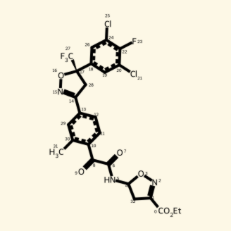 CCOC(=O)C1=NOC(NC(=O)C(=O)c2ccc(C3=NO[C@@](c4cc(Cl)c(F)c(Cl)c4)(C(F)(F)F)C3)cc2C)C1